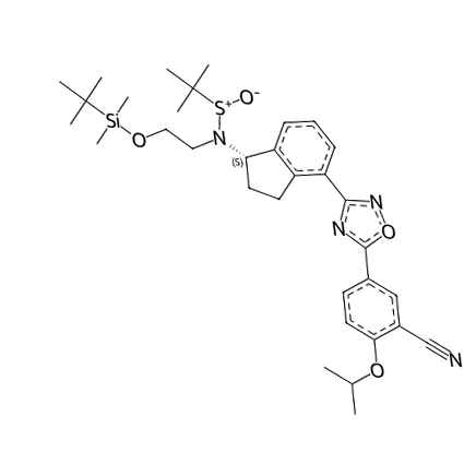 CC(C)Oc1ccc(-c2nc(-c3cccc4c3CC[C@@H]4N(CCO[Si](C)(C)C(C)(C)C)[S+]([O-])C(C)(C)C)no2)cc1C#N